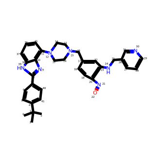 CC(C)(C)c1ccc(-c2nc3c(N4CCN(Cc5ccc(N=O)c(NCc6cccnc6)c5)CC4)cccc3[nH]2)cc1